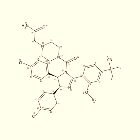 CCOc1cc(C(C)(C)C#N)ccc1C1=N[C@@H](C2C=CC(Cl)=CC2)[C@@H](c2ccc(Cl)cc2)N1C(=O)N1CCN(CC(N)=O)CC1